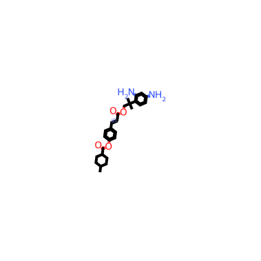 CC1CCC(C(=O)Oc2ccc(/C=C/C(=O)OCC(C)(C)c3ccc(N)cc3N)cc2)CC1